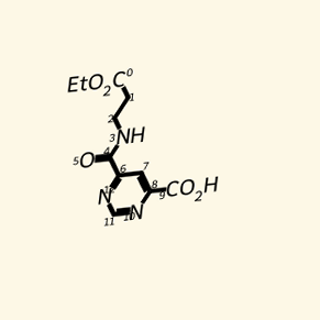 CCOC(=O)CCNC(=O)c1cc(C(=O)O)ncn1